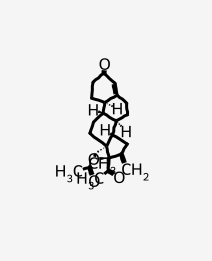 C=C1C[C@H]2[C@@H]3CCC4=CC(=O)CC[C@@H]4[C@H]3CC[C@]2(CC)[C@@]1(OC(C)=O)C(C)=O